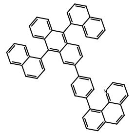 c1ccc2c(-c3c4ccccc4c(-c4cccc5ccccc45)c4cc(-c5ccc(-c6cccc7ccc8cccnc8c67)cc5)ccc34)cccc2c1